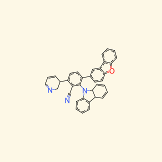 N#Cc1c(C2C=CC=NC2)ccc(-c2ccc3oc4ccccc4c3c2)c1N1c2ccccc2C2C=CC=CC21